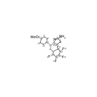 COc1ccc(C(Cc2c(F)c(F)c(F)c(F)c2F)c2csc(N)n2)cc1